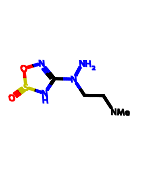 CNCCN(N)C1=NOS(=O)N1